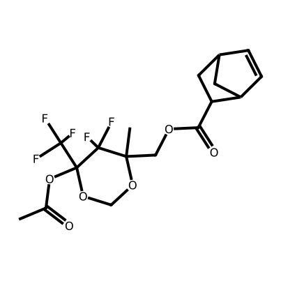 CC(=O)OC1(C(F)(F)F)OCOC(C)(COC(=O)C2CC3C=CC2C3)C1(F)F